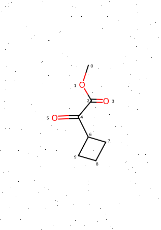 COC(=O)C(=O)C1CCC1